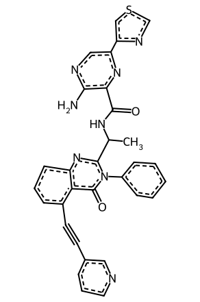 CC(NC(=O)c1nc(-c2cscn2)cnc1N)c1nc2cccc(C#Cc3cccnc3)c2c(=O)n1-c1ccccc1